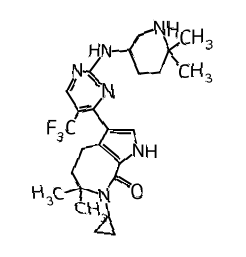 CC1(C)CCC(Nc2ncc(C(F)(F)F)c(-c3c[nH]c4c3CCC(C)(C)N(C3CC3)C4=O)n2)CN1